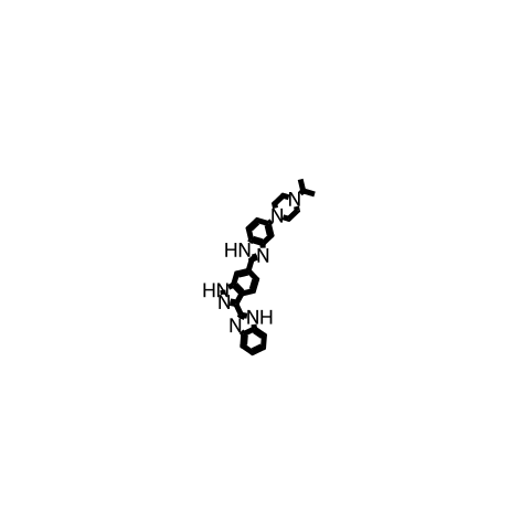 CC(C)N1CCN(c2ccc3[nH]c(-c4ccc5c(-c6nc7ccccc7[nH]6)n[nH]c5c4)nc3c2)CC1